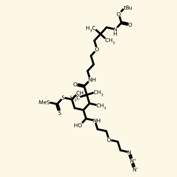 CSC(=S)SC(C)CC(C(O)NCCOCCN=[N+]=[N-])C(C)C(C)(C)C(=O)NCCCOCC(C)(C)CNC(=O)OC(C)(C)C